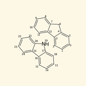 c1ccc2c(c1)Cc1ccccc1-2.c1ccc2c(c1)[nH]c1ccccc12